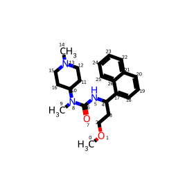 COCCC(NC(=O)N(C)C1CCN(C)CC1)c1cccc2ccccc12